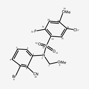 COCN(c1cccc(Br)c1C#N)S(=O)(=O)c1cc(Cl)c(OC)cc1F